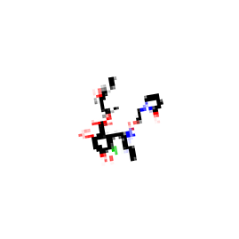 C=C[C@H]1O[C@@H]1C[C@@H](C)OC(=O)c1c(O)cc(O)c(Cl)c1CC(/C=C/C)=N\OCCN1CCCC1=O